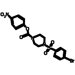 O=C(Oc1ccc([N+](=O)[O-])cc1)N1CCN(S(=O)(=O)c2ccc(Br)cc2)CC1